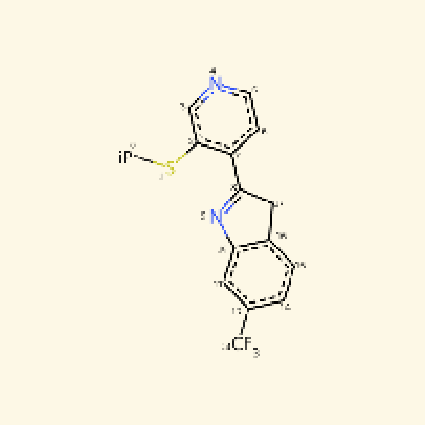 CC(C)Sc1cnccc1C1=Nc2cc(C(F)(F)F)ccc2C1